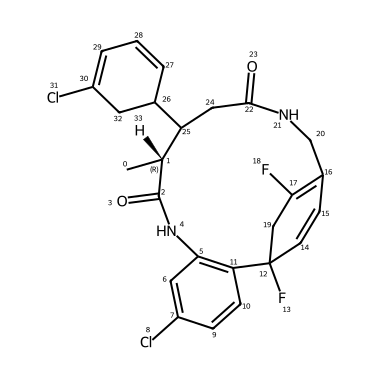 C[C@H]1C(=O)Nc2cc(Cl)ccc2C2(F)C=CC(=C(F)C2)CNC(=O)CC1C1C=CC=C(Cl)C1